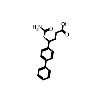 NC(=O)SC(CCC(=O)O)c1ccc(-c2ccccc2)cc1